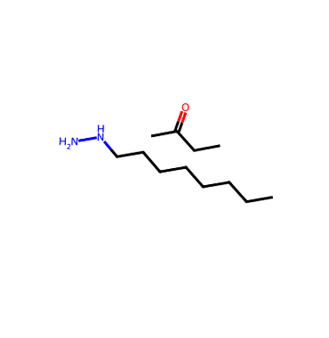 CCC(C)=O.CCCCCCCCNN